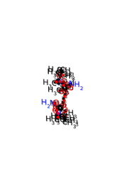 COc1cc(C(=O)N2C=C(C)C[C@H]2CO[Si](C)(C)C(C)(C)C)c(OC(N)=O)cc1OCCCCCOc1cc(OC(N)=O)c(C(=O)N2C=C(C)C[C@H]2CO[Si](C)(C)C(C)(C)C)cc1OC